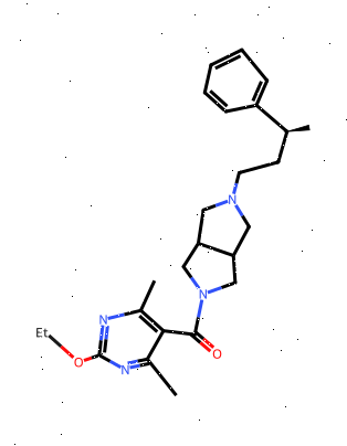 CCOc1nc(C)c(C(=O)N2CC3CN(CC[C@H](C)c4ccccc4)CC3C2)c(C)n1